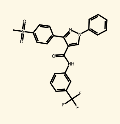 CS(=O)(=O)c1ccc(-c2nn(-c3ccccc3)cc2C(=O)Nc2cccc(C(F)(F)F)c2)cc1